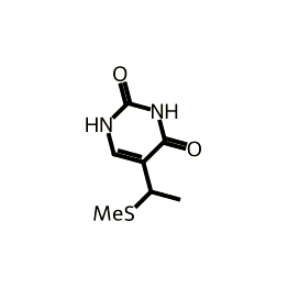 CSC(C)c1c[nH]c(=O)[nH]c1=O